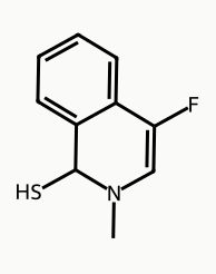 CN1C=C(F)c2ccccc2C1S